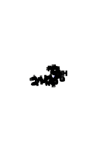 CCN(CC)CCc1ccc2c(n1)CO/C2=C1\C(=O)Nc2ccc(F)cc21